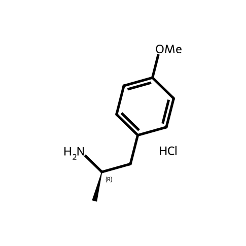 COc1ccc(C[C@@H](C)N)cc1.Cl